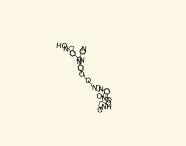 O=C1CCC(N2C(=O)c3cccc(N4CCN(CCCOCCOc5ccc(-n6cc(-c7ccc8c(c7)CC/C8=N\O)c(-c7ccncc7)n6)cc5)CC4)c3C2=O)C(=O)N1